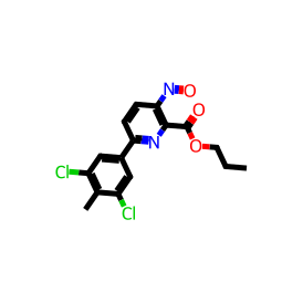 CCCOC(=O)c1nc(-c2cc(Cl)c(C)c(Cl)c2)ccc1N=O